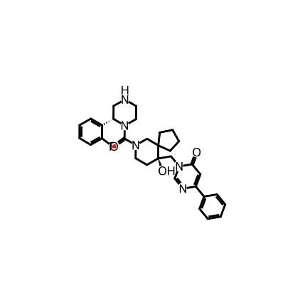 O=C(N1CC[C@@](O)(Cn2cnc(-c3ccccc3)cc2=O)C2(CCCC2)C1)N1CCNC[C@H]1c1ccccc1F